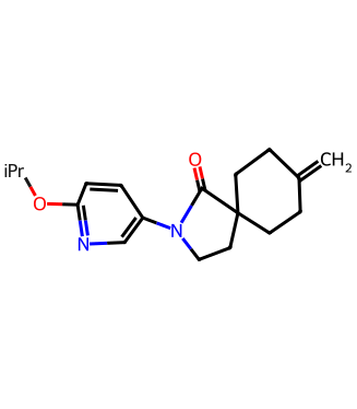 C=C1CCC2(CC1)CCN(c1ccc(OC(C)C)nc1)C2=O